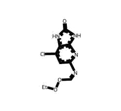 CCOO/C=N\c1cc(Cl)c2[nH]c(=O)[nH]c2n1